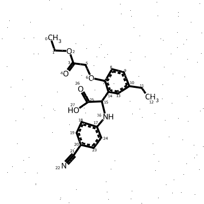 CCOC(=O)COc1ccc(CC)cc1C(Nc1ccc(C#N)cc1)C(=O)O